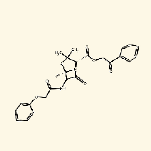 CC1(C)S[C@@H]2C(NC(=O)COc3ccccc3)C(=O)N2[C@H]1C(=O)OCC(=O)c1ccccc1